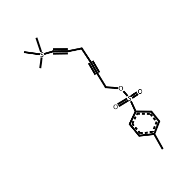 Cc1ccc(S(=O)(=O)OCC#CCC#CS(C)(C)C)cc1